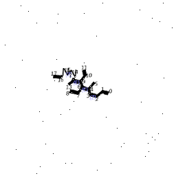 C=C\C=C/C(C)=C(C=C)/C(C=C)=C(C)/N=N\C=C